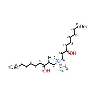 CCCCCCCCCCCCCCCC(O)CC[N+](C)(C)CCC(O)CCCCCCCCCCCCCCC.[Cl-]